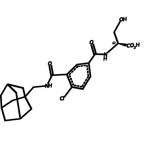 O=C(N[C@@H](CO)C(=O)O)c1ccc(Cl)c(C(=O)NCC23CC4CC(CC(C4)C2)C3)c1